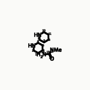 C1CCNCC1.C1CCNCC1.CNC(N)=O